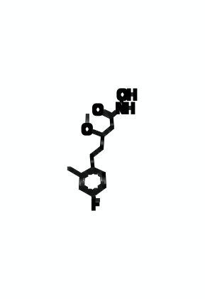 COC(CCc1ccc(F)cc1C)CC(=O)NO